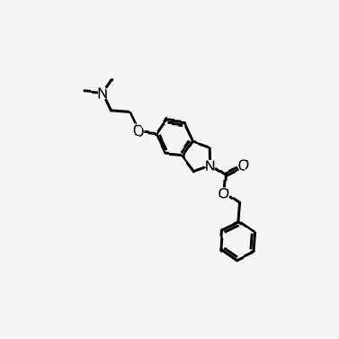 CN(C)CCOc1ccc2c(c1)CN(C(=O)OCc1ccccc1)C2